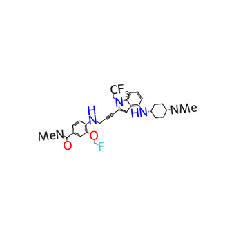 CNC(=O)c1ccc(NCC#Cc2cc3c(N[C@H]4CC[C@H](NC)CC4)cccc3n2CC(F)(F)F)c(OCF)c1